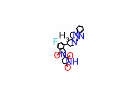 Cn1c(CN2CCC(c3cc(F)cc4c3CN(C3CCC(=O)NC3=O)C4=O)CC2)nc2ccccc21